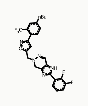 CCCCc1ccc(-c2cc(CN3Cc4nc(-c5cccc(F)c5F)[nH]c4C=N3)on2)c(C(F)(F)F)c1